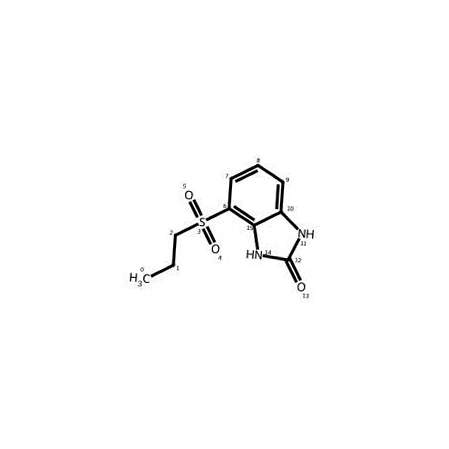 CCCS(=O)(=O)c1cccc2[nH]c(=O)[nH]c12